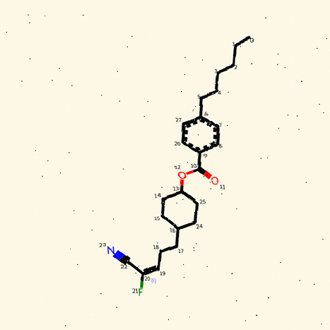 CCCCCCc1ccc(C(=O)OC2CCC(CC/C=C(/F)C#N)CC2)cc1